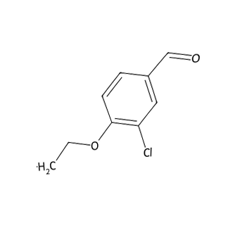 [CH2]COc1ccc(C=O)cc1Cl